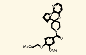 COCCOc1ccc(C(=O)N2CCC3(CC2)Oc2cccnc2-n2cccc23)cc1OC